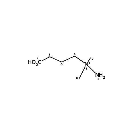 C[N+](C)(N)CCCC(=O)O